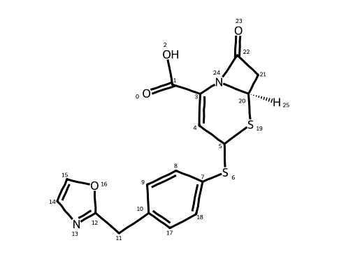 O=C(O)C1=CC(Sc2ccc(Cc3ncco3)cc2)S[C@@H]2CC(=O)N12